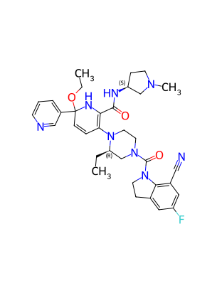 CCOC1(c2cccnc2)C=CC(N2CCN(C(=O)N3CCc4cc(F)cc(C#N)c43)C[C@H]2CC)=C(C(=O)N[C@H]2CCN(C)C2)N1